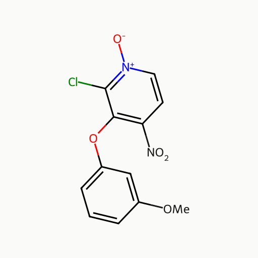 COc1cccc(Oc2c([N+](=O)[O-])cc[n+]([O-])c2Cl)c1